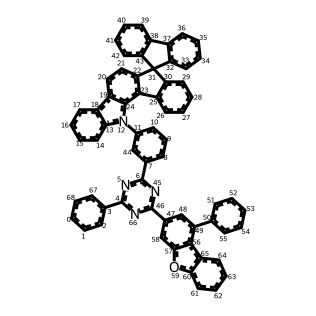 c1ccc(-c2nc(-c3cccc(-n4c5ccccc5c5ccc6c(c54)-c4ccccc4C64c5ccccc5-c5ccccc54)c3)nc(-c3cc(-c4ccccc4)c4c(c3)oc3ccccc34)n2)cc1